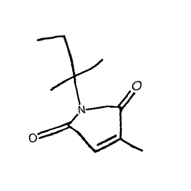 CCC(C)(C)N1C(=O)C=C(C)C1=O